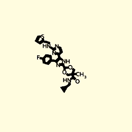 CC1(C(=O)NCC2CC2)COC(c2nc(-c3ccc(F)cc3)c(-c3ccnc(NCc4cccs4)n3)[nH]2)OC1